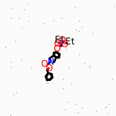 CCOP(=O)(COc1ccc2c(c1)CN(C(=O)OCc1ccccc1)C2)OCC